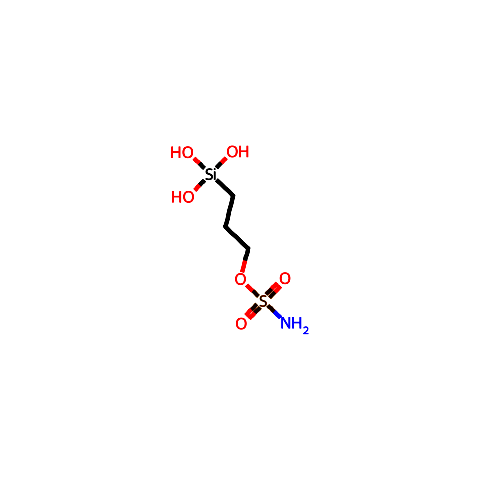 NS(=O)(=O)OCCC[Si](O)(O)O